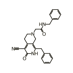 N#Cc1c2c(c(Cc3ccccc3)[nH]c1=O)CN(CC(=O)NCc1ccccc1)CC2